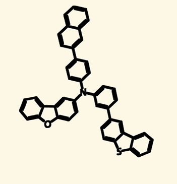 c1cc(-c2ccc3sc4ccccc4c3c2)cc(N(c2ccc(-c3ccc4ccccc4c3)cc2)c2ccc3oc4ccccc4c3c2)c1